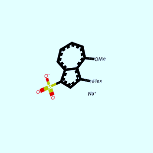 CCCCCCc1cc(S(=O)(=O)[O-])c2ccccc(OC)c1-2.[Na+]